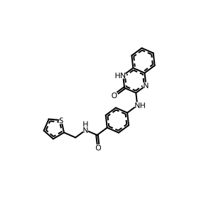 O=C(NCc1cccs1)c1ccc(Nc2nc3ccccc3[nH]c2=O)cc1